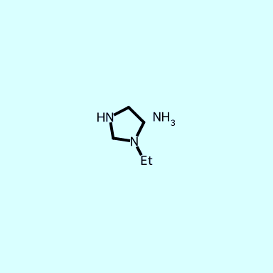 CCN1CCNC1.N